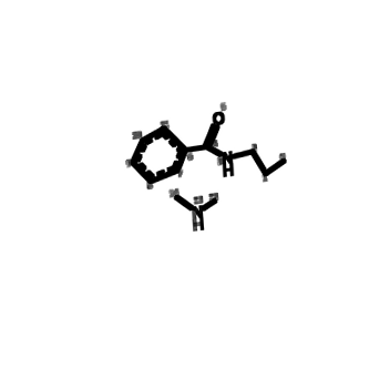 CCCNC(=O)c1ccccc1.CNC